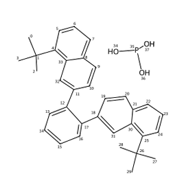 CC(C)(C)c1cccc2ccc(-c3ccccc3-c3ccc4cccc(C(C)(C)C)c4c3)cc12.OP(O)O